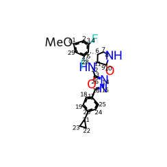 COc1cc(F)c([C@@H]2CNC(=O)[C@H]2Nc2nnc(-c3ccc(C4CC4)cc3)o2)c(F)c1